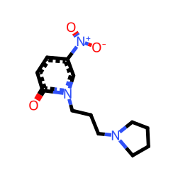 O=c1ccc([N+](=O)[O-])cn1CCCN1CCCC1